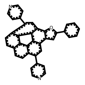 c1ccc(-c2cc3c4cc(-c5ccncc5)c5ccc6ccc7c(-c8ccncc8)cc(c3o2)c2c7c6c5c42)cc1